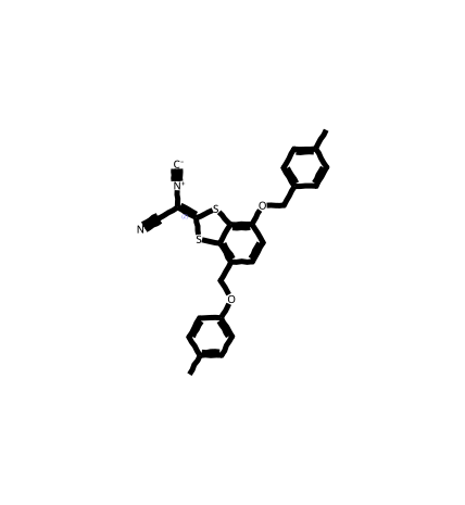 [C-]#[N+]/C(C#N)=C1/Sc2c(COc3ccc(C)cc3)ccc(OCc3ccc(C)cc3)c2S1